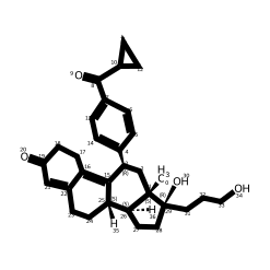 C[C@]12C[C@H](c3ccc(C(=O)C4CC4)cc3)C3=C4CCC(=O)C=C4CC[C@H]3[C@@H]1CC[C@@]2(O)CCCO